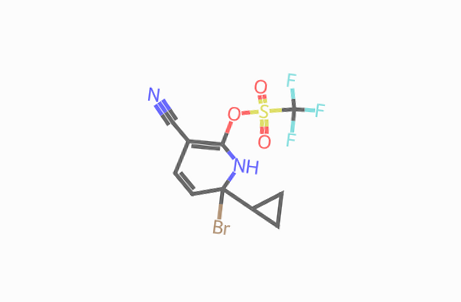 N#CC1=C(OS(=O)(=O)C(F)(F)F)NC(Br)(C2CC2)C=C1